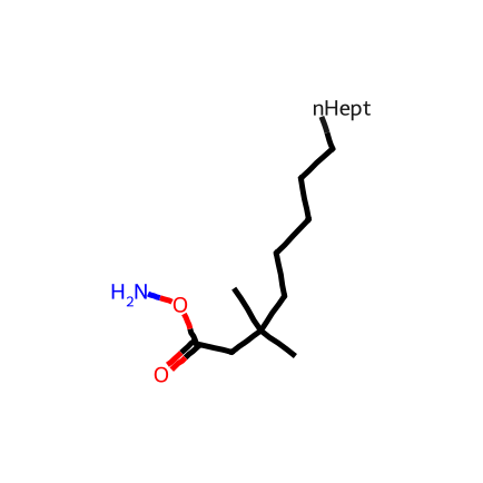 CCCCCCCCCCCCC(C)(C)CC(=O)ON